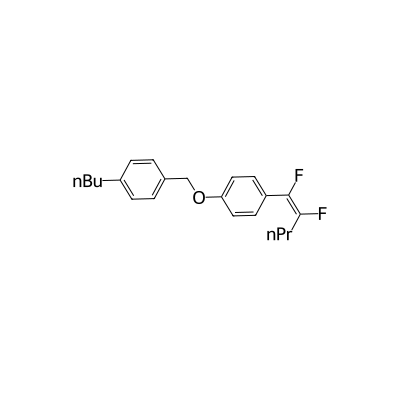 CCCCc1ccc(COc2ccc(/C(F)=C(/F)CCC)cc2)cc1